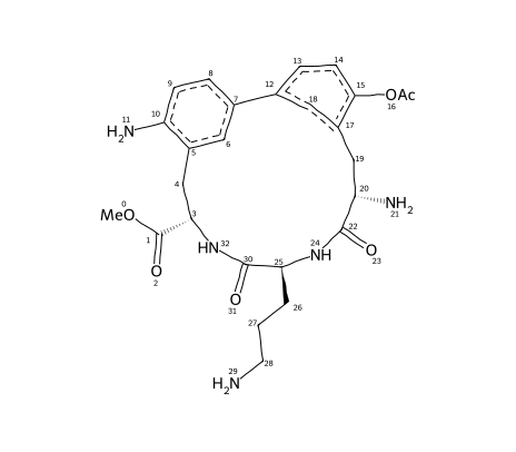 COC(=O)[C@@H]1Cc2cc(ccc2N)-c2ccc(OC(C)=O)c(c2)C[C@H](N)C(=O)N[C@@H](CCCN)C(=O)N1